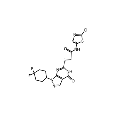 O=C(CSc1nc2c(cnn2C2CCC(F)(F)CC2)c(=O)[nH]1)Nc1nnc(Cl)s1